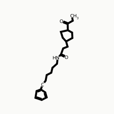 CCC(=O)C1CCC(CCC(=O)NCCCCCCc2ccccc2)CC1